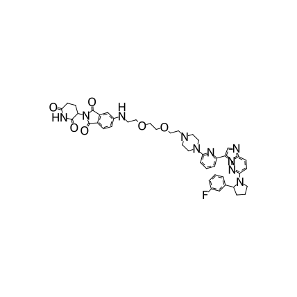 O=C1CCC(N2C(=O)c3ccc(NCCOCCOCCN4CCN(c5cccc(-c6cnc7ccc(N8CCCC8c8cccc(F)c8)nn67)n5)CC4)cc3C2=O)C(=O)N1